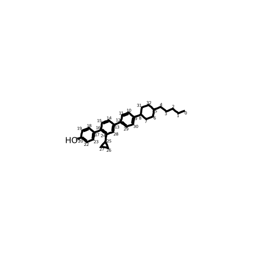 CCCCCC1CCC(c2ccc(-c3ccc(-c4ccc(O)cc4)c(C4CC4)c3)cc2)CC1